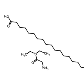 CCCCCCCCCCCCCCCCCC(=O)O.CCN(CC)C(=O)CN